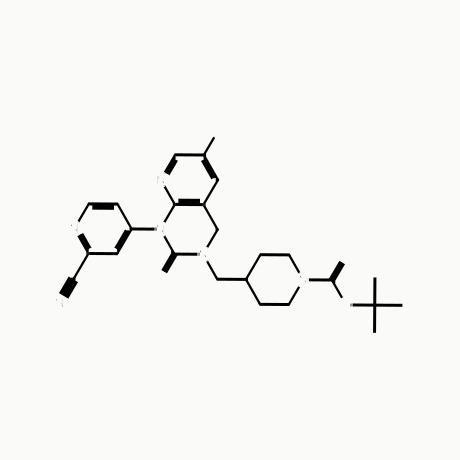 CC(C)(C)OC(=O)N1CCC(CN2Cc3cc(F)cnc3N(c3ccnc(C#N)c3)C2=O)CC1